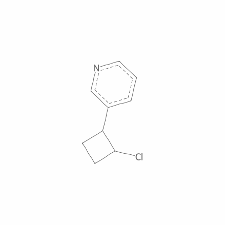 ClC1CCC1c1cccnc1